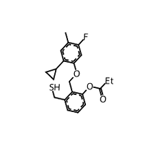 CCC(=O)Oc1cccc(CS)c1COc1cc(F)c(C)cc1C1CC1